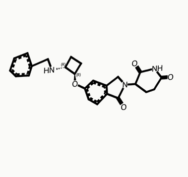 O=C1CCC(N2Cc3cc(O[C@@H]4CC[C@H]4NCc4ccccc4)ccc3C2=O)C(=O)N1